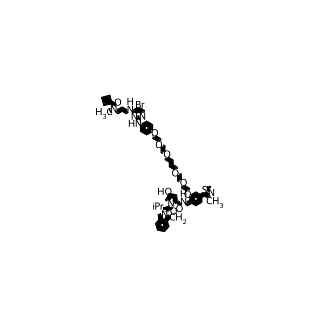 C=C1c2ccccc2CN1[C@H](C(=O)N1C[C@H](O)C[C@H]1C(=O)NCc1ccc(-c2scnc2C)cc1OCCOCCOCCCCOCCOCCOc1ccc(Nc2ncc(Br)c(NCCCN(C)C(=O)C3CCC3)n2)cc1)C(C)C